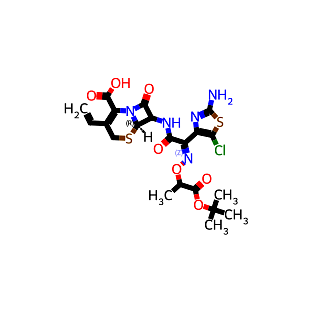 C=CC1=C(C(=O)O)N2C(=O)C(NC(=O)/C(=N\OC(C)C(=O)OC(C)(C)C)c3nc(N)sc3Cl)[C@H]2SC1